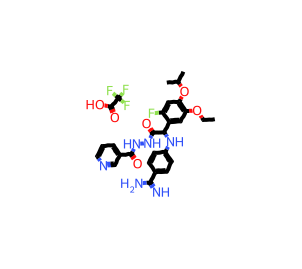 CCOc1cc(C(Nc2ccc(C(=N)N)cc2)C(=O)NNC(=O)c2cccnc2)c(F)cc1OC(C)C.O=C(O)C(F)(F)F